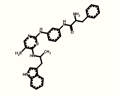 Bc1cnc(Nc2cccc(NC(=O)C(N)Cc3ccccc3)c2)nc1NC(C)Cc1c[nH]c2ccccc12